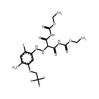 CCOC(=O)NC(=O)C(NNc1cc(SCC(F)(F)F)c(C)cc1F)C(=O)NC(=O)OCC